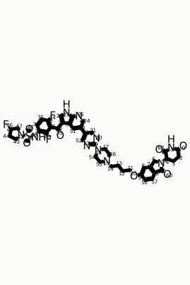 O=C1CCC(N2Cc3cc(OCCCCN4CCN(c5ncc(-c6cnc7[nH]cc(C(=O)c8c(F)ccc(NS(=O)(=O)N9CC[C@@H](F)C9)c8F)c7c6)cn5)CC4)ccc3C2=O)C(=O)N1